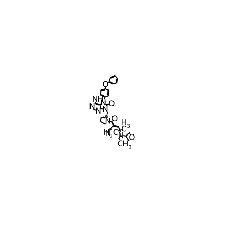 CCN(C1COC1)C(C)(C)C=C(C#N)C(=O)N1CCC[C@H]1Cn1c(=O)n(-c2ccc(Oc3ccccc3)cc2)c2c(N)ncnc21